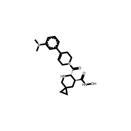 CN(C)c1cccc(C2=CCN(C(=O)[C@H]3NCC4(CC4)C[C@@H]3C(=O)NO)CC2)c1